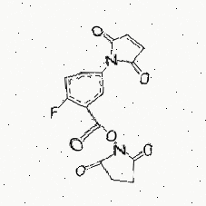 O=C(ON1C(=O)CCC1=O)c1cc(N2C(=O)C=CC2=O)ccc1F